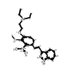 CCN(CC)CCOc1ccc(/C=C/c2n[nH]c3ccccc23)c([N+](=O)[O-])c1OC